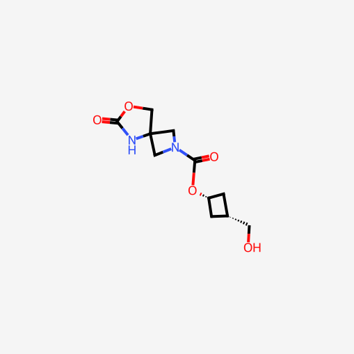 O=C1NC2(CO1)CN(C(=O)O[C@H]1C[C@@H](CO)C1)C2